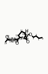 CCCCON1C(=O)N2C[C@@H]1CCC2C(=O)NNC(C)=O